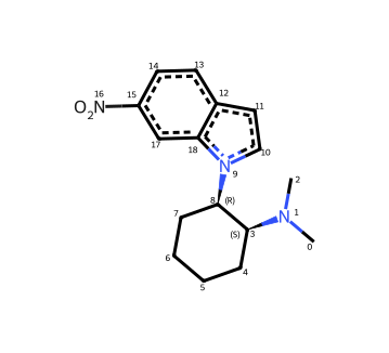 CN(C)[C@H]1CCCC[C@H]1n1ccc2ccc([N+](=O)[O-])cc21